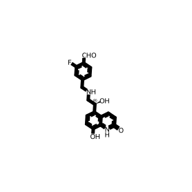 O=Cc1ccc(CNC[C@H](O)c2ccc(O)c3[nH]c(=O)ccc23)cc1F